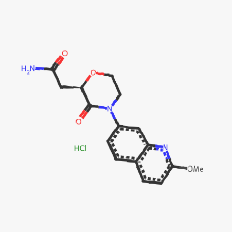 COc1ccc2ccc(N3CCO[C@H](CC(N)=O)C3=O)cc2n1.Cl